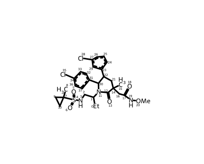 CCC(CNS(=O)(=O)C1(C)CC1)N1C(=O)C(C)(CC(=O)NOC)CC(c2cccc(Cl)c2)C1c1ccc(Cl)cc1